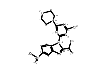 O=[N+]([O-])c1ccc2c(c1)nc(C(F)F)n2-c1nc(Cl)nc(N2CCOCC2)n1